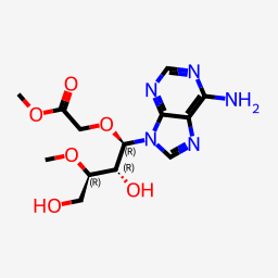 COC(=O)CO[C@H]([C@H](O)[C@@H](CO)OC)n1cnc2c(N)ncnc21